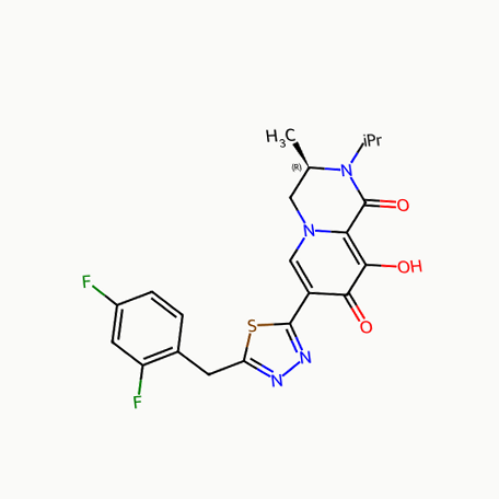 CC(C)N1C(=O)c2c(O)c(=O)c(-c3nnc(Cc4ccc(F)cc4F)s3)cn2C[C@H]1C